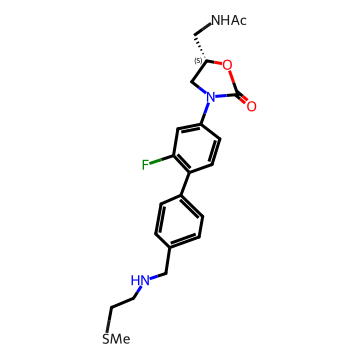 CSCCNCc1ccc(-c2ccc(N3C[C@H](CNC(C)=O)OC3=O)cc2F)cc1